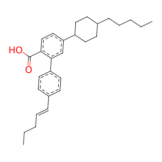 CCC/C=C/c1ccc(-c2cc(C3CCC(CCCCC)CC3)ccc2C(=O)O)cc1